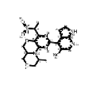 CC1COCC2COc3c(C(C)[SH](=O)=O)nc(-c4c(C#N)cnc5[nH]ccc45)nc3N12